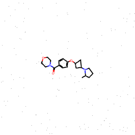 CC1CCCN1C1CC(Oc2ccc(C(=O)N3CCOCC3)cc2)C1